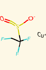 O=S([O-])C(F)(F)F.[Cu+]